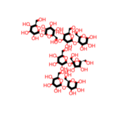 OC[C@H]1O[C@@H](O[C@H]2[C@H](O)[C@@H](O)[C@H](O)O[C@@H]2CO)[C@H](O)[C@@H](O)[C@H]1O.OC[C@H]1O[C@@](CO)(O[C@H]2O[C@H](CO)[C@@H](O)[C@H](O)[C@H]2O)[C@@H](O)[C@@H]1O.OC[C@H]1O[C@H](O[C@H]2O[C@H](CO)[C@@H](O)[C@H](O)[C@H]2O)[C@H](O)[C@@H](O)[C@@H]1O.OC[C@H]1O[C@H](O[C@H]2[C@H](O)[C@@H](O)[C@H](O)O[C@@H]2CO)[C@H](O)[C@@H](O)[C@@H]1O